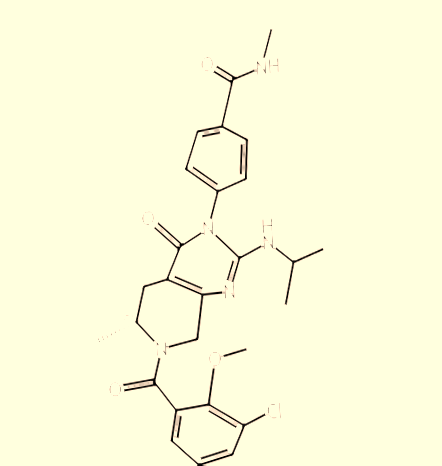 CNC(=O)c1ccc(-n2c(NC(C)C)nc3c(c2=O)C[C@@H](C)N(C(=O)c2cccc(Cl)c2OC)C3)cc1